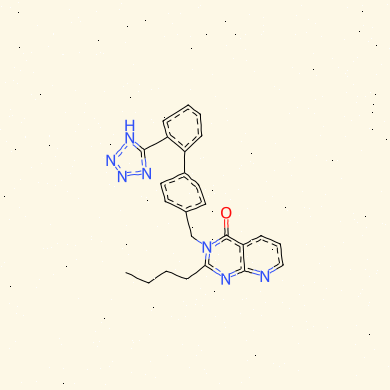 CCCCc1nc2ncccc2c(=O)n1Cc1ccc(-c2ccccc2-c2nnn[nH]2)cc1